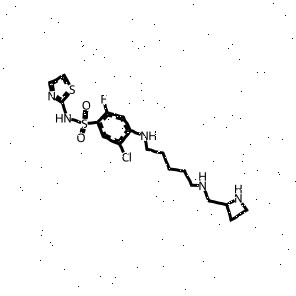 O=S(=O)(Nc1nccs1)c1cc(Cl)c(NCCCCCNCC2CCN2)cc1F